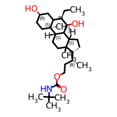 CC[C@@H]1C2C[C@H](O)CC[C@]2(C)[C@H]2CCC3(C)[C@@H]([C@H](C)CCOC(=O)NC(C)(C)C)CC[C@H]3C2[C@@H]1O